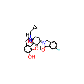 O=C1c2cc(F)ccc2CN1[C@@H]1CC[C@@]2(O)[C@H]3Cc4ccc(O)c5c4[C@@]2(CCN3CC2CC2)[C@H]1O5